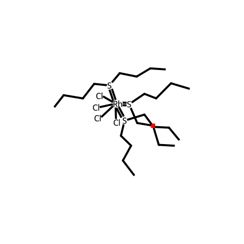 CCCC[S](CCCC)=[Rh]([Cl])([Cl])([Cl])([Cl])(=[S](CCCC)CCCC)=[S](CCCC)CCCC